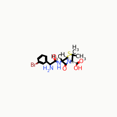 CC1(C)S[C@H]2N(C(=O)C2(C)NC(=O)C(N)c2cccc(Br)c2)[C@H]1C(=O)O